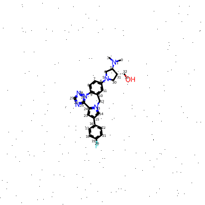 CN(C)[C@@H]1CN(c2ccc3c(c2)Cn2cc(-c4ccc(F)cc4)cc2-c2ncnn2-3)C[C@H]1CO